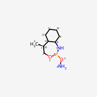 C[C@@H]1COP(ON)NC2CCCCC21